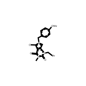 COc1ccc(Cn2cc3c(c2Cl)c(=O)n(C)c(=O)n3CC(C)C)cc1